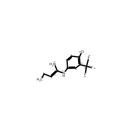 CC/C=C(\N)Nc1ccc(Cl)c(C(F)(F)F)c1